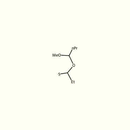 CCCC(OC)OC([S])CC